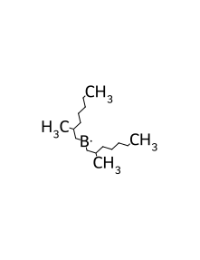 CCCCCC(C)C[B]CC(C)CCCCC